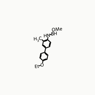 CCOc1ccc(-c2ccc(NBOC)c(C)c2)cc1